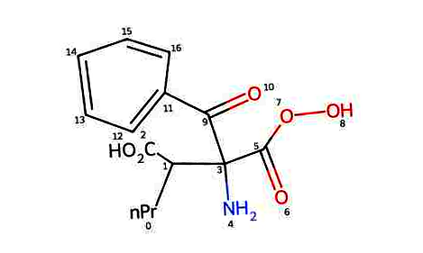 CCCC(C(=O)O)C(N)(C(=O)OO)C(=O)c1ccccc1